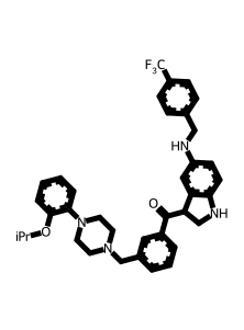 CC(C)Oc1ccccc1N1CCN(Cc2cccc(C(=O)C3CNc4ccc(NCc5ccc(C(F)(F)F)cc5)cc43)c2)CC1